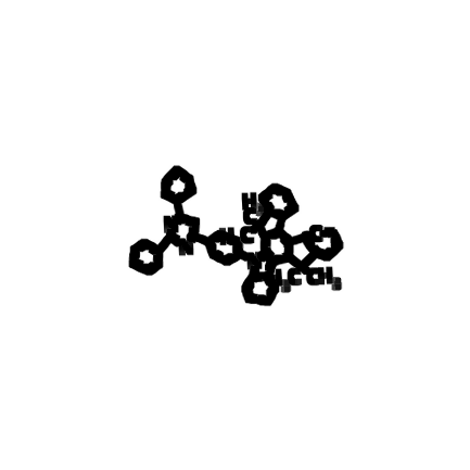 CC1(C)c2ccccc2-c2c3c(c4c(c21)c1ccccc1n4-c1ccc(-c2cc(-c4ccccc4)nc(-c4ccccc4)n2)cc1)C(C)(C)c1ccccc1-3